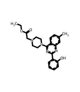 CCOC(=O)CN1CCN(c2nc(-c3ccccc3O)nc3cc(C)ccc23)CC1